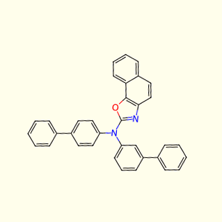 c1ccc(-c2ccc(N(c3cccc(-c4ccccc4)c3)c3nc4ccc5ccccc5c4o3)cc2)cc1